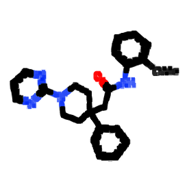 COc1ccccc1NC(=O)CC1(c2ccccc2)CCN(c2ncccn2)CC1